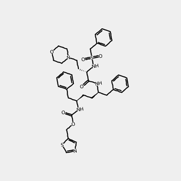 O=C(N[C@H](CC[C@H](Cc1ccccc1)NC(=O)[C@H](CCN1CCOCC1)NS(=O)(=O)Cc1ccccc1)Cc1ccccc1)OCc1cncs1